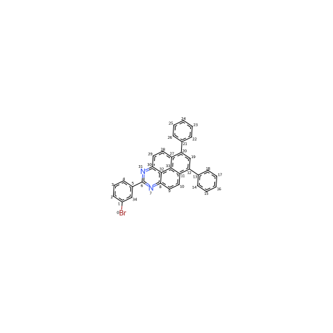 Brc1cccc(-c2nc3ccc4c(-c5ccccc5)cc(-c5ccccc5)c5ccc(n2)c3c45)c1